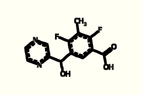 Cc1c(F)c(C(=O)O)cc(C(O)c2cnccn2)c1F